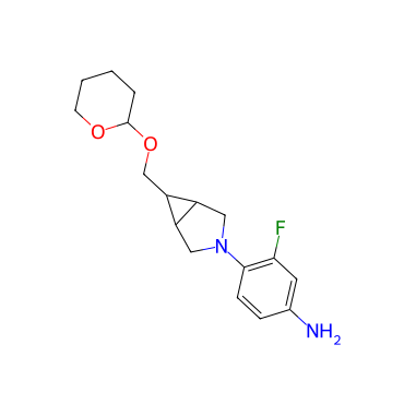 Nc1ccc(N2CC3C(COC4CCCCO4)C3C2)c(F)c1